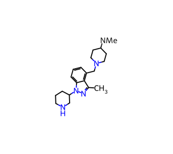 CNC1CCN(Cc2cccc3c2c(C)nn3C2CCCNC2)CC1